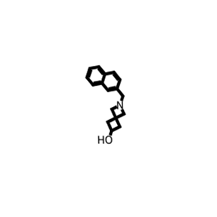 OC1CC2(C1)CN(Cc1ccc3ccccc3c1)C2